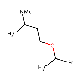 CNC(C)CCOC(C)C(C)C